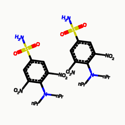 CCCN(CCC)c1c([N+](=O)[O-])cc(S(N)(=O)=O)cc1[N+](=O)[O-].CCCN(CCC)c1c([N+](=O)[O-])cc(S(N)(=O)=O)cc1[N+](=O)[O-]